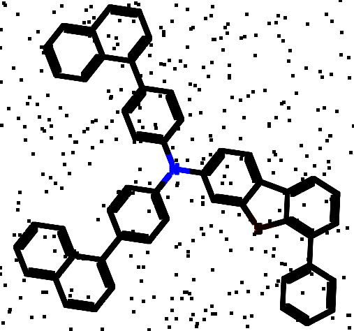 c1ccc(-c2cccc3c2sc2cc(N(c4ccc(-c5cccc6ccccc56)cc4)c4ccc(-c5cccc6ccccc56)cc4)ccc23)cc1